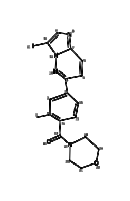 Cc1cc(-c2ccc3ncc(I)n3n2)ccc1C(=O)N1CCOCC1